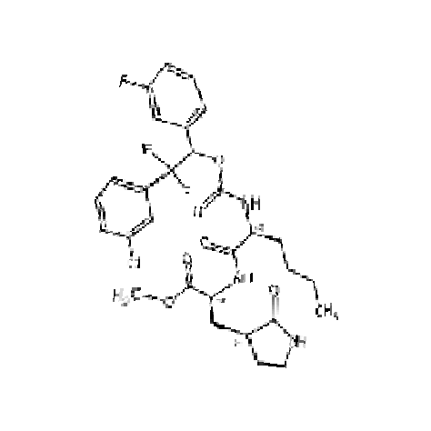 CCCC[C@H](NC(=O)OC(c1cccc(F)c1)C(F)(F)c1cccc(Cl)c1)C(=O)N[C@@H](C[C@@H]1CCNC1=O)C(=O)OC